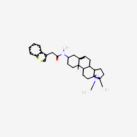 CC1C2CCC3C4CC=C5CC(N(C)C(=O)Cc6csc7ccccc67)CCC5(C)C4CCC32CN1C